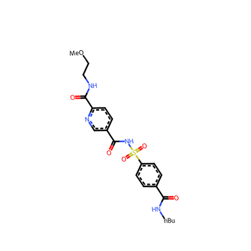 CCCCNC(=O)c1ccc(S(=O)(=O)NC(=O)c2ccc(C(=O)NCCOC)nc2)cc1